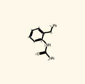 CCCC(=O)Nc1ccccc1CC(C)C